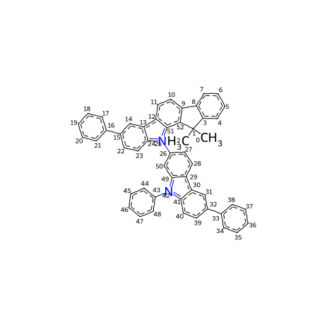 CC1(C)c2ccccc2-c2ccc3c4cc(-c5ccccc5)ccc4n(-c4ccc5c6cc(-c7ccccc7)ccc6n(-c6ccccc6)c5c4)c3c21